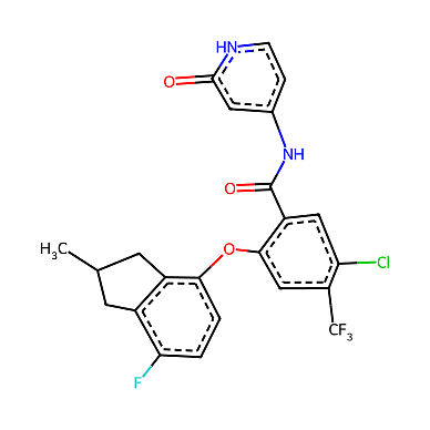 CC1Cc2c(F)ccc(Oc3cc(C(F)(F)F)c(Cl)cc3C(=O)Nc3cc[nH]c(=O)c3)c2C1